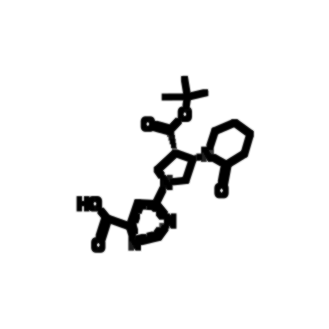 CC(C)(C)OC(=O)[C@H]1CN(c2cc(C(=O)O)ncn2)C[C@H]1N1CCCCC1=O